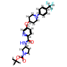 CC(C)(C)OC(=O)N1CC[C@@H](NC(=O)c2ccc(OC3CCN(c4ccc(C(F)(F)F)cc4)CC3)cn2)C1